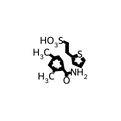 Cc1ccc(C(N)=O)c(C)c1.O=S(=O)(O)/C=C/c1cccs1